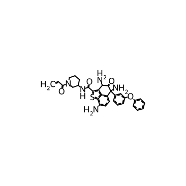 C=CC(=O)N1CCCC(NC(=O)c2sc3c(N)ccc4c3c2C(N)C(=O)C4(N)c2cccc(Oc3ccccc3)c2)C1